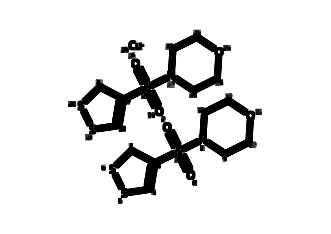 O=S(=O)(C1=CSSC1)N1CCOCC1.O=S(=O)(C1=CSSC1)N1CCOCC1.[Cu]